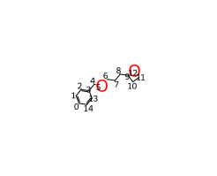 c1ccc(COCCCC2CCO2)cc1